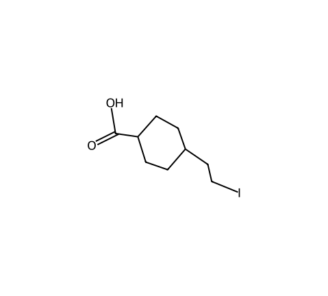 O=C(O)C1CCC(CCI)CC1